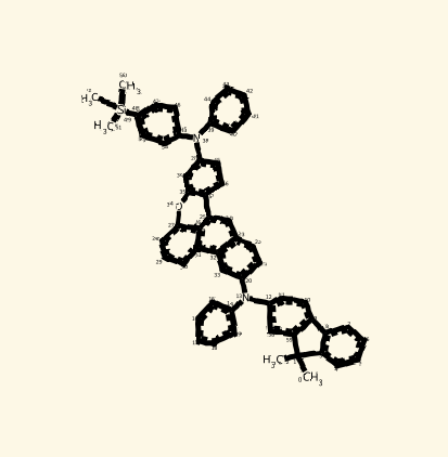 CC1(C)c2ccccc2-c2ccc(N(c3ccccc3)c3ccc4cc5c6c(cccc6c4c3)Oc3cc(N(c4ccccc4)c4ccc([Si](C)(C)C)cc4)ccc3-5)cc21